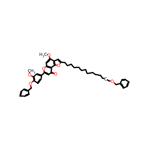 COc1cc(-c2cc(=O)c3c(cc(OC)c4cc(CCCCCCCCCCCCCCOCc5ccccc5)oc43)o2)ccc1OCc1ccccc1